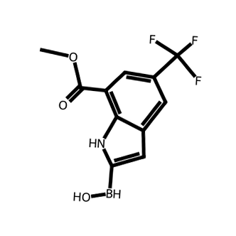 COC(=O)c1cc(C(F)(F)F)cc2cc(BO)[nH]c12